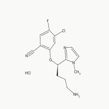 Cl.Cn1ccnc1[C@@H](CCCN)Oc1cc(Cl)c(F)cc1C#N